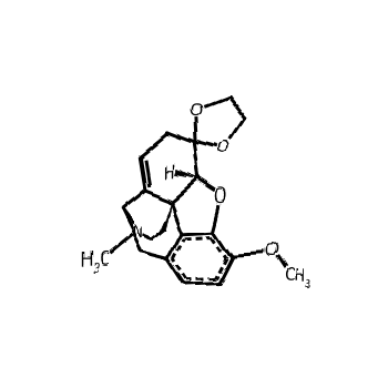 COc1ccc2c3c1O[C@H]1C4(CC=C5C(C2)N(C)CC[C@]531)OCCO4